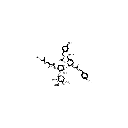 CN[C@@H]1[C@@H](O)[C@@H](O[C@@H]2[C@@H](O)[C@H](O[C@H]3OC(CNC(C)=O)=CC[C@H]3NC(=O)OCc3ccc([N+](=O)[O-])cc3)[C@@H](NC(=O)OCc3ccc([N+](=O)[O-])cc3)C[C@H]2NC(=O)[C@@H](O)CNC(=O)OC(C)(C)C)OC[C@]1(C)O